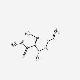 C=CCO[C@H](C)[C@H](NC)C(=O)OC